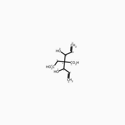 C=CC(O)C(CC(=O)O)(C(=O)O)C(O)C=C